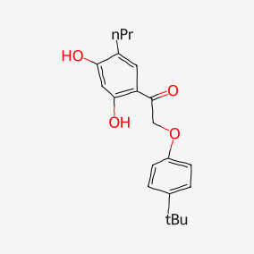 CCCc1cc(C(=O)COc2ccc(C(C)(C)C)cc2)c(O)cc1O